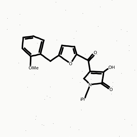 COc1ccccc1Cc1ccc(C(=O)C2=C(O)C(=O)N(C(C)C)C2)o1